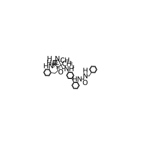 CC(C)(N)C(C)(C(=O)Nc1ccc(-c2ccccc2NC(=O)NCc2ccccc2)cc1)[C@H]1CCc2ccccc2NC1=O